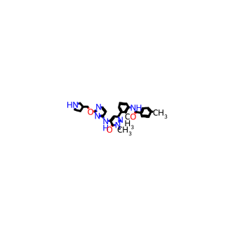 Cc1ccc(C(=O)Nc2cccc(-c3cc(Nc4ccnc(OCC5CCNC5)n4)c(=O)n(C)n3)c2C)cc1